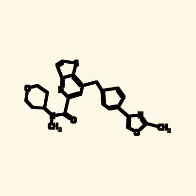 Cc1nc(-c2ccc(Cc3cc(C(=O)N(C)C4CCOCC4)nc4ccsc34)cc2)co1